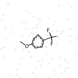 [CH2]C(F)(F)c1ccc(OC)cc1